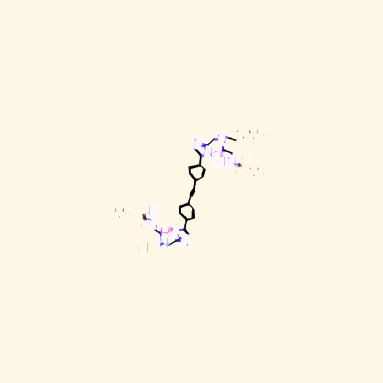 CCCN(Cc1ncc(-c2ccc(C#Cc3ccc(-c4cnc(CN(CCNC)C(=O)CNC(=O)OC)[nH]4)cc3)cc2)[nH]1)C(=O)CNC(=O)OC